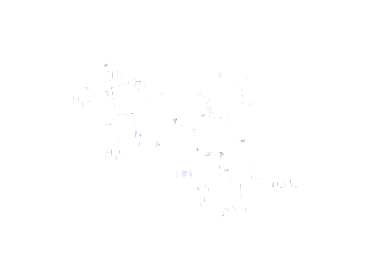 COc1cccc2[nH]cc(Sc3ccccc3CCCN(C)C(=O)OC(C)(C)C)c12